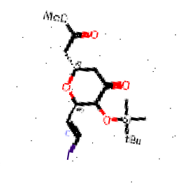 COC(=O)C[C@@H]1CC(=O)C(O[Si](C)(C)C(C)(C)C)[C@@H](/C=C/I)O1